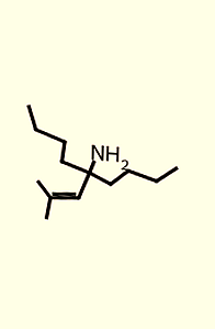 CCCCC(N)(C=C(C)C)CCCC